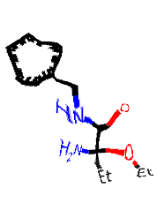 CCO[C@@](N)(CC)C(=O)NCc1ccccc1